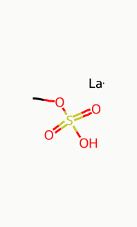 COS(=O)(=O)O.[La]